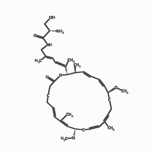 CO[C@@H]1/C=C(C)/C=C/CCCC(=O)O[C@H](/C(C)=C/C=C(\C)CNC(=O)[C@@H](N)CO)[C@@H](C)/C=C/C=C/[C@@H](OC)CC/C=C(C)\C=C\C1